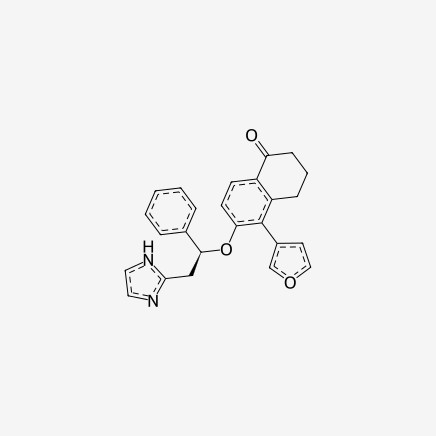 O=C1CCCc2c1ccc(O[C@@H](Cc1ncc[nH]1)c1ccccc1)c2-c1ccoc1